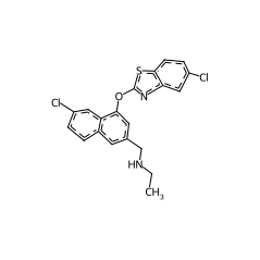 CCNCc1cc(Oc2nc3cc(Cl)ccc3s2)c2cc(Cl)ccc2c1